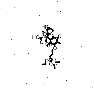 CCO[Si](CCCOC1=C(C)C(=O)C2=C(C1=O)C(CO)(NC(=O)O)C1(OC)C3NC3CN21)(OCC)OCC